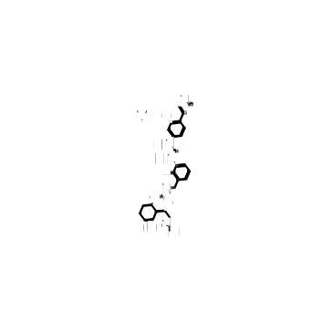 CCN(CC(OC(=O)NCc1cccc(NC(=O)Nc2ccc(-c3cnco3)c(OC)c2)c1)C1CCCCC1)C(C)C